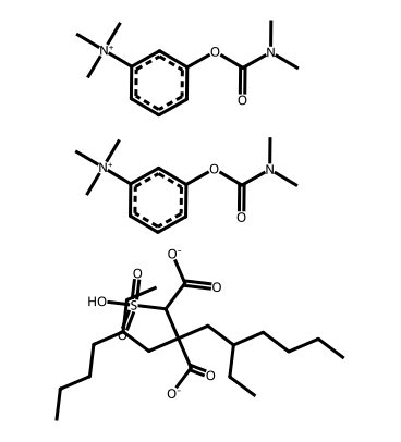 CCCCC(CC)CC(CC(CC)CCCC)(C(=O)[O-])C(C(=O)[O-])S(=O)(=O)O.CN(C)C(=O)Oc1cccc([N+](C)(C)C)c1.CN(C)C(=O)Oc1cccc([N+](C)(C)C)c1